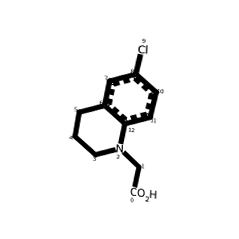 O=C(O)CN1CCCc2cc(Cl)ccc21